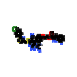 [C-]#[N+]c1c(N)nc(SCc2csc(-c3ccc(Cl)cc3)n2)c(C#N)c1-c1ccc(OCCOC(=O)[C@@H](N)Cc2ccccc2)cc1